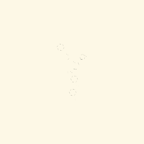 O=C(CN(CC(=O)Nc1ccc(Oc2ccc(F)c(F)c2)cc1)C(=O)c1cnco1)NCc1c(F)cccc1F